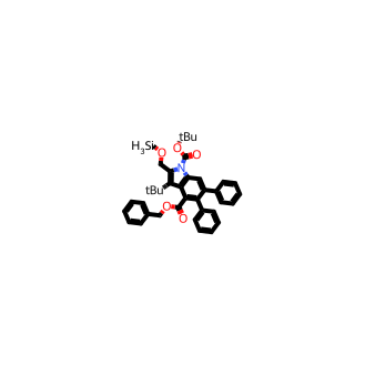 CC(C)(C)OC(=O)n1c(CO[SiH3])c(C(C)(C)C)c2c(C(=O)OCc3ccccc3)c(-c3ccccc3)c(-c3ccccc3)cc21